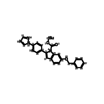 CC(C)(C)OC(=O)n1c(-c2ccc(-n3cncn3)nc2)cc2ccc(OCc3ccccc3)cc21